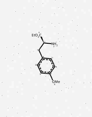 CCOC(=O)[C@@H](N)Cc1ccc(OC)cc1